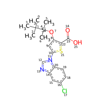 CC(C)(C)[Si](C)(C)Oc1cc(-n2cnc3cc(Cl)ccc32)sc1C(=O)O